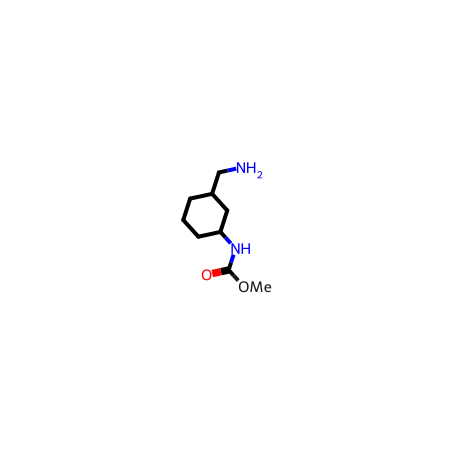 COC(=O)NC1CCCC(CN)C1